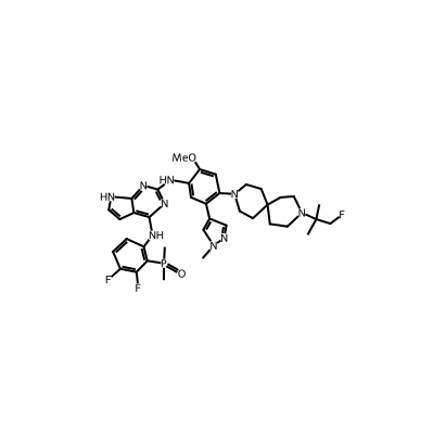 COc1cc(N2CCC3(CC2)CCN(C(C)(C)CF)CC3)c(-c2cnn(C)c2)cc1Nc1nc(Nc2ccc(F)c(F)c2P(C)(C)=O)c2cc[nH]c2n1